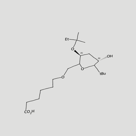 CCC(C)(C)O[C@H]1C[C@H](O)C(C(C)(C)C)OC1COCCCCCC(=O)O